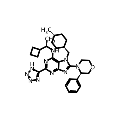 C[C@@H](Nc1nc(-c2nnn[nH]2)nc2nc(N3CCOC[C@H]3c3ccccc3)n(C[C@H]3CC[C@H](C)CC3)c12)C1CCC1